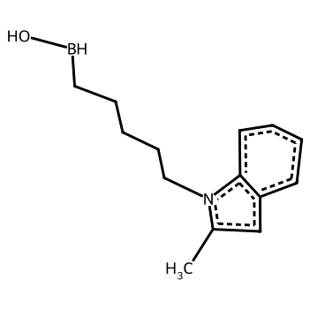 Cc1cc2ccccc2n1CCCCCBO